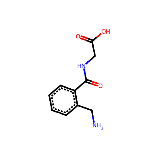 NCc1ccccc1C(=O)NCC(=O)O